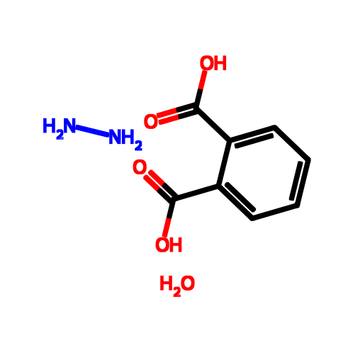 NN.O.O=C(O)c1ccccc1C(=O)O